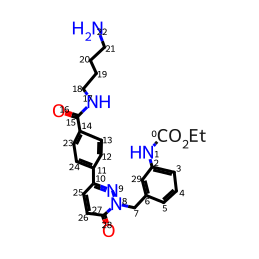 CCOC(=O)Nc1cccc(Cn2nc(-c3ccc(C(=O)NCCCCN)cc3)ccc2=O)c1